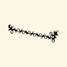 CCC(C)(C)C(=O)CCOCCOCCOCCOCCOCCOCCN1C(=O)CC(C(C)(C)C)C1=O